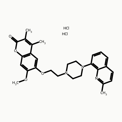 COc1cc2oc(=O)c(C)c(C)c2cc1OCCN1CCN(c2cccc3ccc(C)nc23)CC1.Cl.Cl